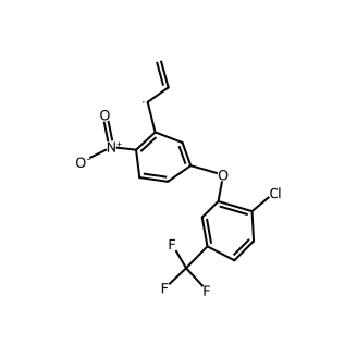 C=C[CH]c1cc(Oc2cc(C(F)(F)F)ccc2Cl)ccc1[N+](=O)[O-]